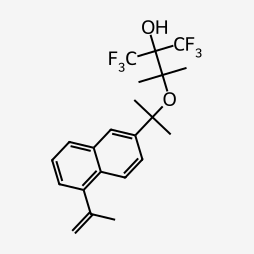 C=C(C)c1cccc2cc(C(C)(C)OC(C)(C)C(O)(C(F)(F)F)C(F)(F)F)ccc12